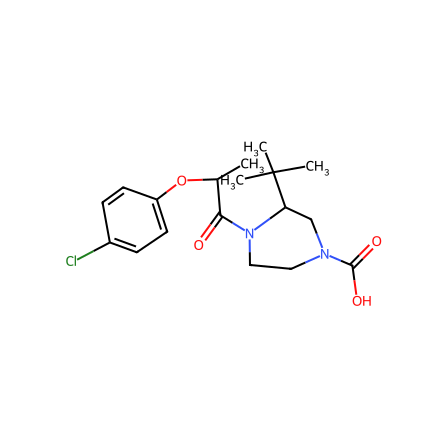 CC(Oc1ccc(Cl)cc1)C(=O)N1CCN(C(=O)O)CC1C(C)(C)C